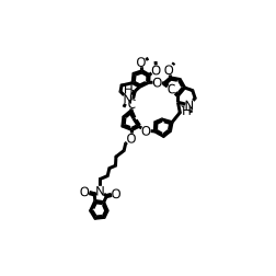 COc1cc2c3cc1Oc1c(OC)c(OC)cc4c1[C@@H](Cc1ccc(OCCCCCCCN5C(=O)c6ccccc6C5=O)c(c1)Oc1ccc(cc1)C[C@@H]3N(C)CC2)N(C)CC4